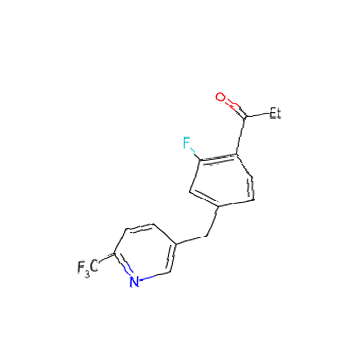 CCC(=O)c1ccc(Cc2ccc(C(F)(F)F)nc2)cc1F